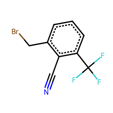 N#Cc1c(CBr)cccc1C(F)(F)F